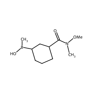 CON(C)C(=O)C1CCCC(B(C)O)C1